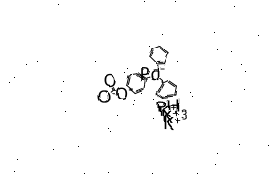 O=C([O-])[O-].P.[K+].[K+].[K+].c1cc[c]([Pd-]([c]2ccccc2)[c]2ccccc2)cc1